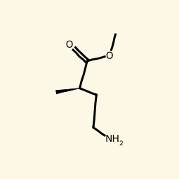 COC(=O)[C@H](C)CCN